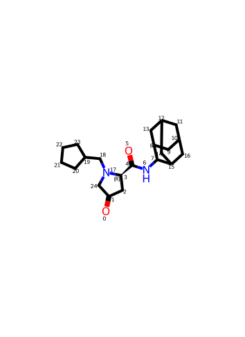 O=C1C[C@H](C(=O)NC2C3CC4CC(C3)CC2C4)N(CC2CCCC2)C1